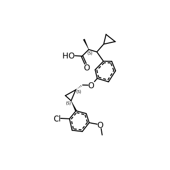 COc1ccc(Cl)c([C@H]2C[C@@H]2COc2cccc(C(C3CC3)[C@H](C)C(=O)O)c2)c1